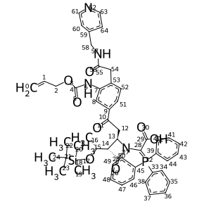 C=CCOC(=O)Nc1cc(C(=O)C[C@@H]2[C@@H]([C@@H](C)O[Si](C)(C)C(C)(C)C)C(=O)N2C(C(=O)O)=P(c2ccccc2)(c2ccccc2)c2ccccc2)ccc1CC(=O)NCc1ccncc1